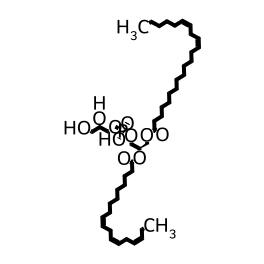 CC/C=C\C/C=C\C/C=C\CCCCCCCC(=O)O[C@H](COC(=O)CCCCCCCCCCC/C=C\C/C=C\CCCCC)COP(=O)(O)OC[C@@H](O)CO